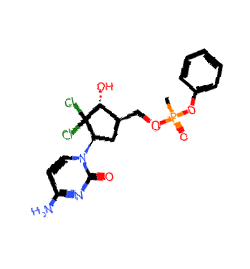 CP(=O)(OC[C@H]1C[C@@H](n2ccc(N)nc2=O)C(Cl)(Cl)[C@@H]1O)Oc1ccccc1